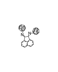 c1cc2c3c(cccc3c1)C(=N[C]13[CH]4[CH]5[CH]6[CH]1[Fe]56431789[CH]3[CH]1[CH]7[CH]8[CH]39)C2=N[C]12[CH]3[CH]4[CH]5[CH]1[Fe]45321678[CH]2[CH]1[CH]6[CH]7[CH]28